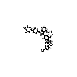 CN1CCN(C2CCC(n3cc(-c4ccc(NS(=O)(=O)c5ccc(Cl)s5)c(F)c4)c4c(N)ncnc43)CC2)CC1